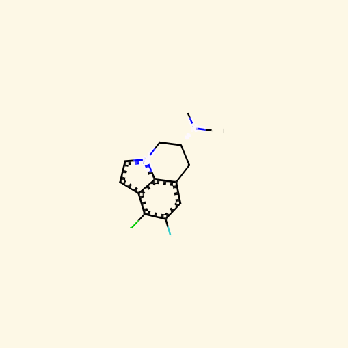 CN(C)[C@@H]1Cc2cc(F)c(Cl)c3ccn(c23)C1